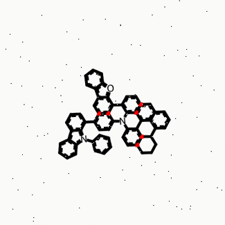 c1ccc(-n2c3ccccc3c3cccc(-c4ccc(N(c5ccccc5-c5cccc6c5oc5ccccc56)c5ccccc5-c5cccc6cccc(C7CCCCC7)c56)cc4)c32)cc1